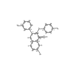 Cc1ccc(Cn2c(-c3cccc(C)c3)cc3ccc(C)cc3c2=O)cc1